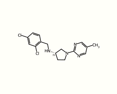 Cc1cnc(N2CC[C@H](NCc3ccc(Cl)cc3Cl)C2)nc1